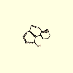 SC1=C=C=Cc2ccc3c(c21)=CCCC=3